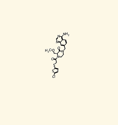 COC[C@H]1C(=O)N(Cc2ccc3c(N)ncnc3c2)CCN1C(=O)CSc1ccc(Cl)s1